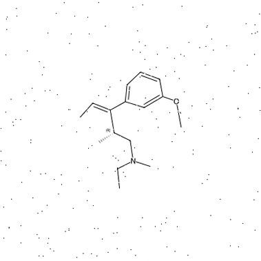 CC=C(c1cccc(OC)c1)[C@@H](C)CN(C)CC